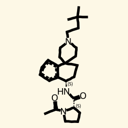 CC(=O)N1CCC[C@H]1C(=O)N[C@H]1CCC2(CCN(CCC(C)(C)C)CC2)c2ccccc21